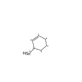 [SnH][CH]1C=CCCC1